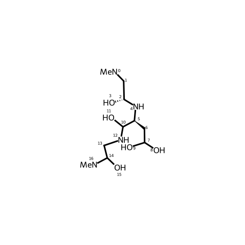 CNC[C@@H](O)N[C@@H](CC(O)O)C(O)NCC(O)NC